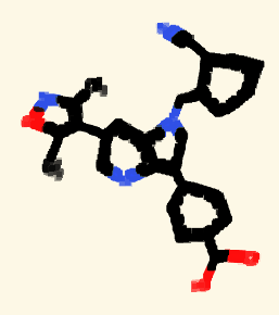 Cc1noc(C)c1-c1cnc2c(-c3ccc(C(=O)O)cc3)cn(Cc3ccccc3C#N)c2c1